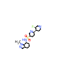 Cn1ncc2cccc(NS(=O)(=O)c3ccc(-c4ccncc4F)nc3)c21